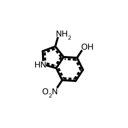 Nc1c[nH]c2c([N+](=O)[O-])ccc(O)c12